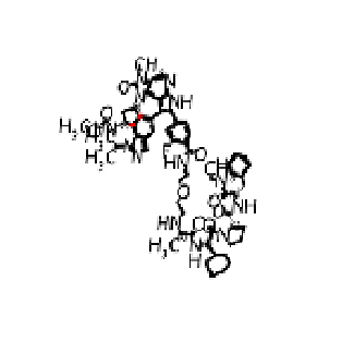 CCNC(=O)[C@H](Cc1ccccc1)NC(=O)[C@@H]1CCCN1C(=O)[C@@H](NC(=O)[C@H](C)NCCOCCNC(=O)c1ccc(-c2[nH]c3ncc4c(c3c2-c2ccc3c(cnn3C(C)C)c2)n([C@@H]2CC[C@@H](NC(=O)OC)C2)c(=O)n4C)cc1F)C1CCCCC1